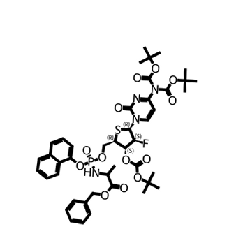 CC(NP(=O)(OC[C@H]1S[C@@H](n2ccc(N(C(=O)OC(C)(C)C)C(=O)OC(C)(C)C)nc2=O)[C@@H](F)[C@@H]1OC(=O)OC(C)(C)C)Oc1cccc2ccccc12)C(=O)OCc1ccccc1